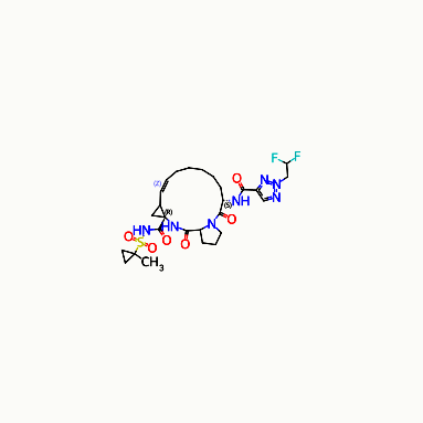 CC1(S(=O)(=O)NC(=O)[C@@]23CC2/C=C\CCCCC[C@H](NC(=O)c2cnn(CC(F)F)n2)C(=O)N2CCCC2C(=O)N3)CC1